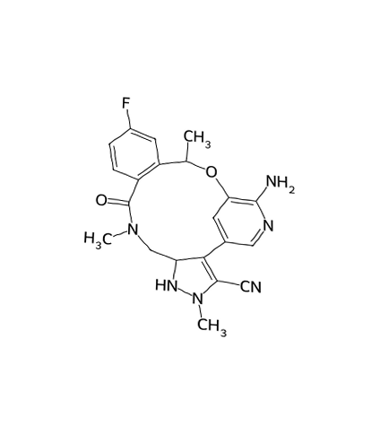 CC1Oc2cc(cnc2N)C2=C(C#N)N(C)NC2CN(C)C(=O)c2ccc(F)cc21